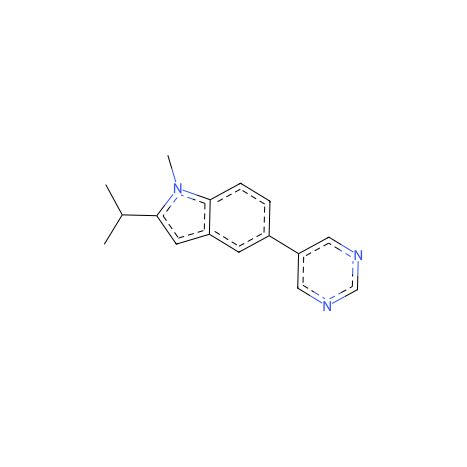 CC(C)c1cc2cc(-c3cncnc3)ccc2n1C